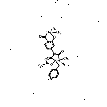 CC1(C)OC(=O)c2ccc(N3C(=O)C(C)(C)[N+](Cc4ccncc4)(OC(=O)C(F)(F)F)C3=O)cc2O1